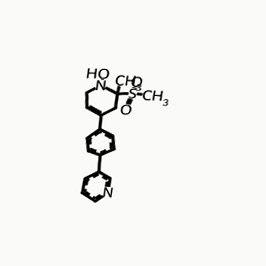 CC1(S(C)(=O)=O)CC(c2ccc(-c3cccnc3)cc2)=CCN1O